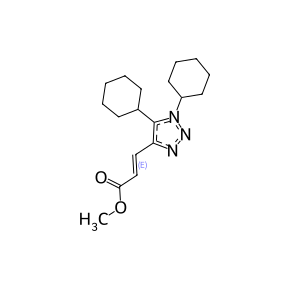 COC(=O)/C=C/c1nnn(C2CCCCC2)c1C1CCCCC1